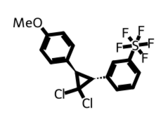 COc1ccc([C@H]2[C@H](c3cccc(S(F)(F)(F)(F)F)c3)C2(Cl)Cl)cc1